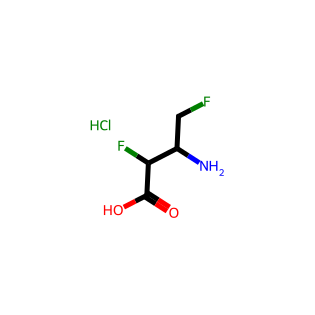 Cl.NC(CF)C(F)C(=O)O